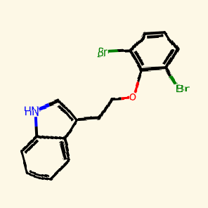 Brc1cccc(Br)c1OCCc1c[nH]c2ccccc12